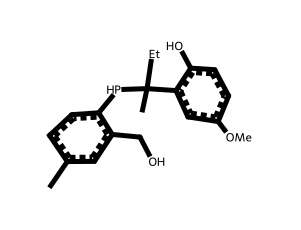 CCC(C)(Pc1ccc(C)cc1CO)c1cc(OC)ccc1O